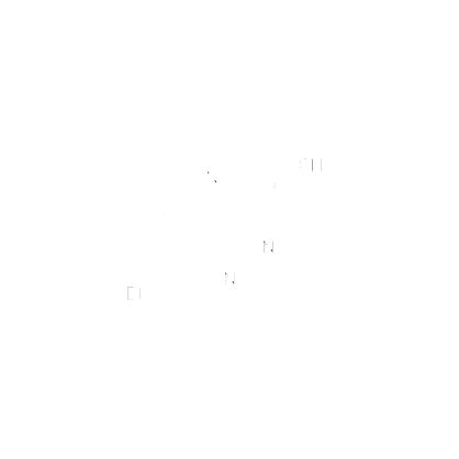 CCc1cnc(C)nn1